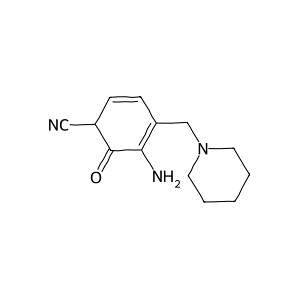 N#CC1C=CC(CN2CCCCC2)=C(N)C1=O